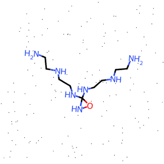 NCCNCCNC1(NCCNCCN)NO1